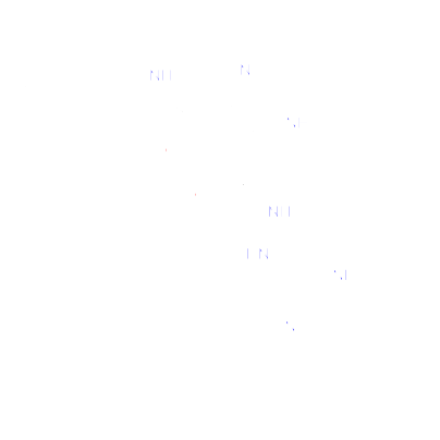 Cc1ccccc1NC(=O)c1nc[nH]c1C(=O)NNc1nc2ccccc2[nH]1